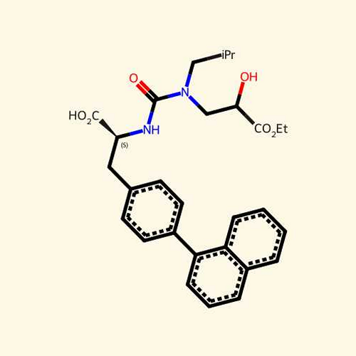 CCOC(=O)C(O)CN(CC(C)C)C(=O)N[C@@H](Cc1ccc(-c2cccc3ccccc23)cc1)C(=O)O